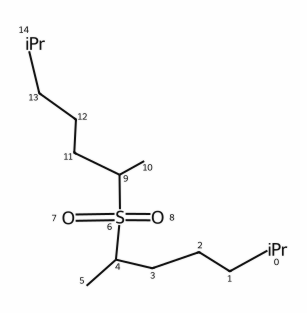 CC(C)CCCC(C)S(=O)(=O)C(C)CCCC(C)C